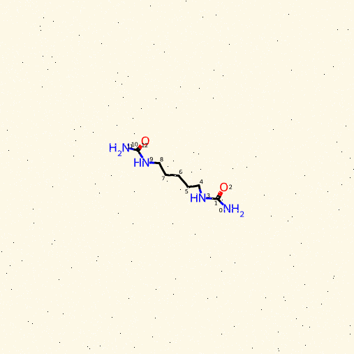 NC(=O)NCCCCCNC(N)=O